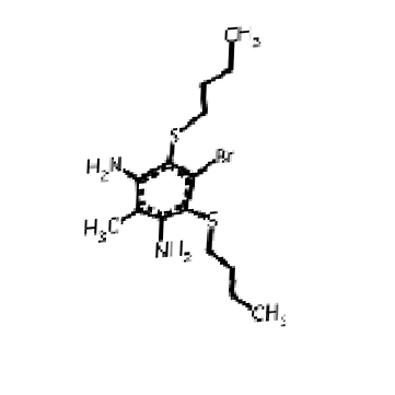 CCCCSc1c(N)c(C)c(N)c(SCCCC)c1Br